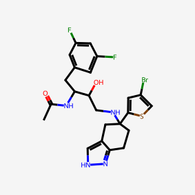 CC(=O)NC(Cc1cc(F)cc(F)c1)C(O)CNC1(c2cc(Br)cs2)CCc2n[nH]cc2C1